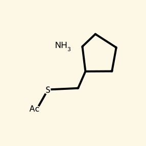 CC(=O)SCC1CCCC1.N